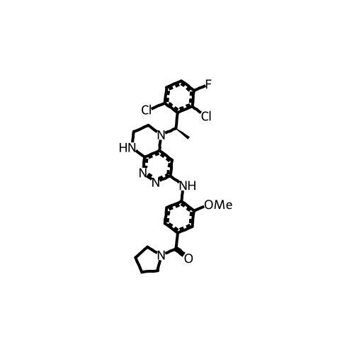 COc1cc(C(=O)N2CCCC2)ccc1Nc1cc2c(nn1)NCCN2[C@H](C)c1c(Cl)ccc(F)c1Cl